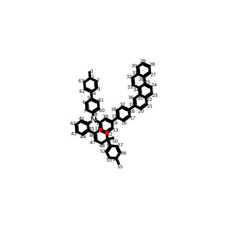 CC1C=CC(c2ccc(N(c3cccc(-c4ccc(-c5ccc6ccc7c8ccccc8ccc7c6c5)cc4)c3)c3ccccc3C3=CCC(C)(C4=CCC(C)C=C4)C=C3)cc2)=CC1